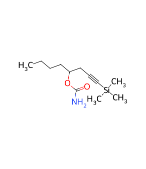 CCCCC(CC#C[Si](C)(C)C)OC(N)=O